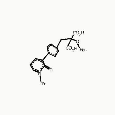 CCCn1cccc(-c2ccc(CC(OC(C)(C)C)(C(=O)O)C(=O)O)cc2)c1=O